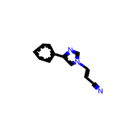 N#CC=Cn1cnc(-c2ccccc2)c1